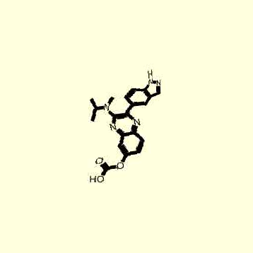 CC(C)N(C)c1nc2cc(OC(=O)O)ccc2nc1-c1ccc2[nH]ncc2c1